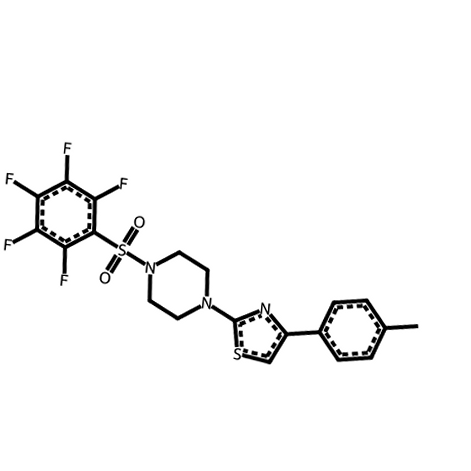 Cc1ccc(-c2csc(N3CCN(S(=O)(=O)c4c(F)c(F)c(F)c(F)c4F)CC3)n2)cc1